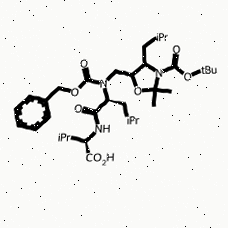 CC(C)CC1C(CN(C(=O)OCc2ccccc2)[C@@H](CC(C)C)C(=O)N[C@@H](C(=O)O)C(C)C)OC(C)(C)N1C(=O)OC(C)(C)C